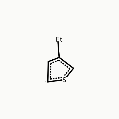 CCc1c[c]sc1